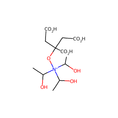 CC(O)[N+](OC(CC(=O)O)(CC(=O)O)C(=O)O)(C(C)O)C(C)O